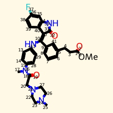 COC(=O)CCc1cccc(C(Nc2ccc(N(C)C(=O)CN3CCN(C)CC3)cc2)=C2C(=O)Nc3cc(F)ccc32)c1